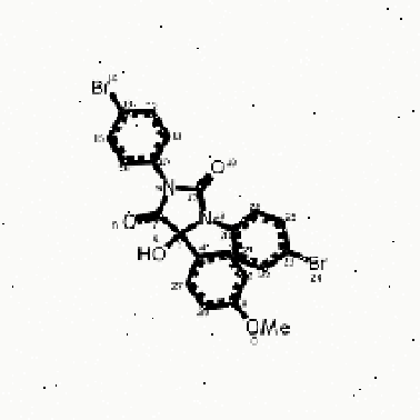 COc1ccc(C2(O)C(=O)N(c3ccc(Br)cc3)C(=O)N2c2ccc(Br)cc2)cc1